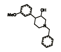 COc1cccc(C2CCN(Cc3ccccc3)CC2O)c1